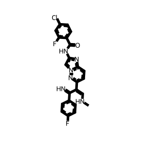 CN/C=C(\C(=N)c1ccc(F)cc1)c1ccc2nc(NC(=O)c3ccc(Cl)cc3F)cn2n1